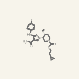 C=C[C@@H]1CCN(C(=O)OCCC2CC2)C[C@H]1n1cc(C(N)=O)c(Nc2ccc(F)cc2)n1